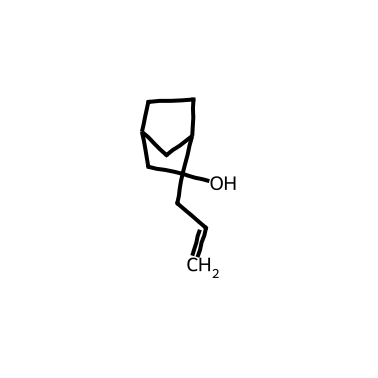 C=CCC1(O)CC2CCC1C2